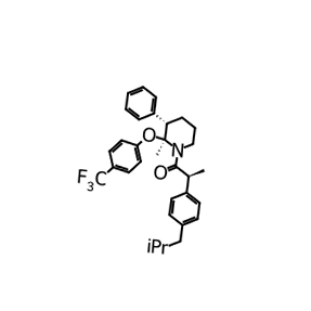 CC(C)Cc1ccc([C@H](C)C(=O)N2CCC[C@@H](c3ccccc3)[C@]2(C)Oc2ccc(C(F)(F)F)cc2)cc1